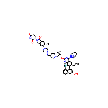 C#Cc1cccc2cc(O)cc(-c3c(C=C)cc4c(N5CC6CCC(C5)N6)nc(OCC5(CN6CCC(CN7CCN(c8cc9c(cc8C)C(=O)N(C8CCC(=O)NC8=O)C9)CC7)CC6)CC5)nc4c3F)c12